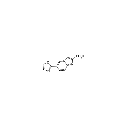 O=C(O)c1cn2cc(-c3ncco3)ccc2n1